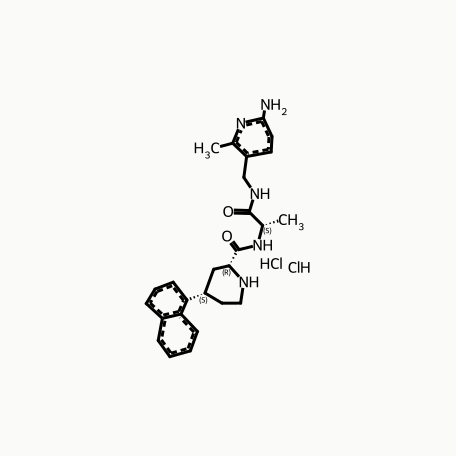 Cc1nc(N)ccc1CNC(=O)[C@H](C)NC(=O)[C@H]1C[C@@H](c2cccc3ccccc23)CCN1.Cl.Cl